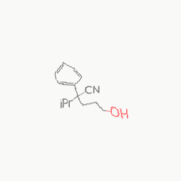 CC(C)C(C#N)(CCCO)c1ccccc1